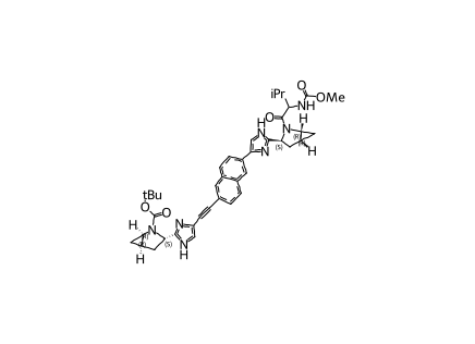 COC(=O)NC(C(=O)N1[C@@H]2C[C@@H]2C[C@H]1c1nc(-c2ccc3cc(C#Cc4c[nH]c([C@@H]5C[C@H]6C[C@H]6N5C(=O)OC(C)(C)C)n4)ccc3c2)c[nH]1)C(C)C